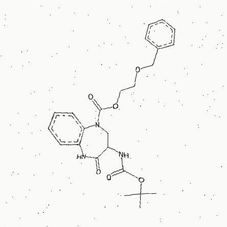 CC(C)(C)OC(=O)NC1CN(C(=O)OCCOCc2ccccc2)c2ccccc2NC1=O